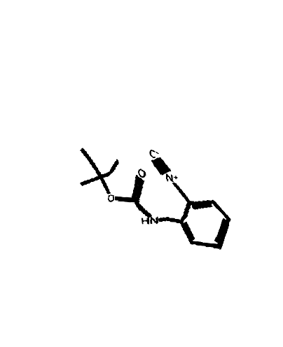 [C-]#[N+]c1ccccc1NC(=O)OC(C)(C)C